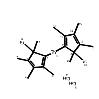 CCC1(C)C(C)=C(C)C(C)=[C]1[Th][C]1=C(C)C(C)=C(C)C1(C)CC.Cl.Cl